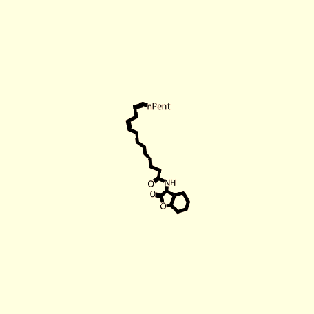 CCCCC/C=C\C/C=C\CCCCCCCC(=O)NC1C(=O)OC2CCCCC21